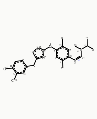 Cc1cc(Oc2nc(Cc3ccc(Cl)c(Cl)c3)ns2)c(C)cc1/N=C\N(C)C(C)C